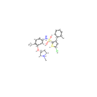 Cc1ccccc1-c1cc(Cl)sc1S(=O)(=O)Nc1ccc(C(F)(F)F)c(O[C@@H]2CCN(C)C2)c1